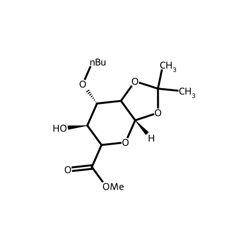 CCCCO[C@@H]1C2OC(C)(C)O[C@@H]2OC(C(=O)OC)[C@H]1O